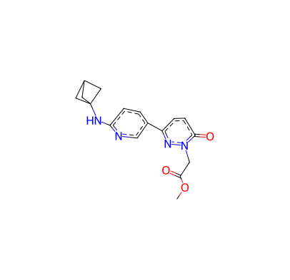 COC(=O)Cn1nc(-c2ccc(NC34CC(C3)C4)nc2)ccc1=O